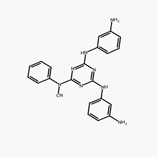 N#CN(c1ccccc1)c1nc(Nc2cccc(N)c2)nc(Nc2cccc(N)c2)n1